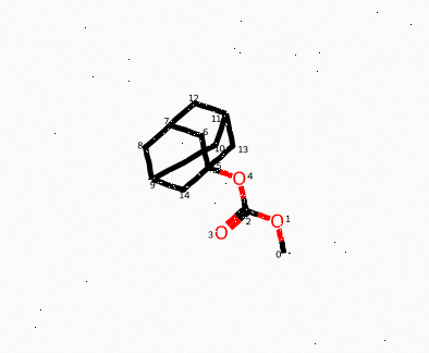 [CH2]OC(=O)OC12CC3CC(CC(C3)C1)C2